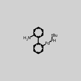 CC(C)(C)[PH][Pd][c]1ccccc1-c1ccccc1N